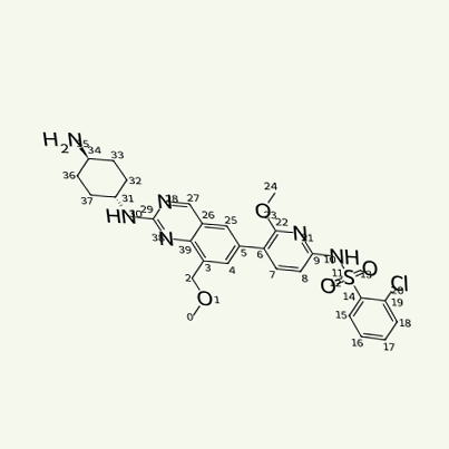 COCc1cc(-c2ccc(NS(=O)(=O)c3ccccc3Cl)nc2OC)cc2cnc(N[C@H]3CC[C@H](N)CC3)nc12